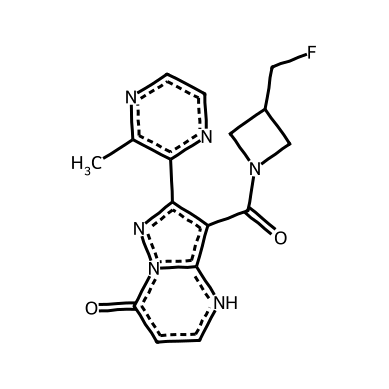 Cc1nccnc1-c1nn2c(=O)cc[nH]c2c1C(=O)N1CC(CF)C1